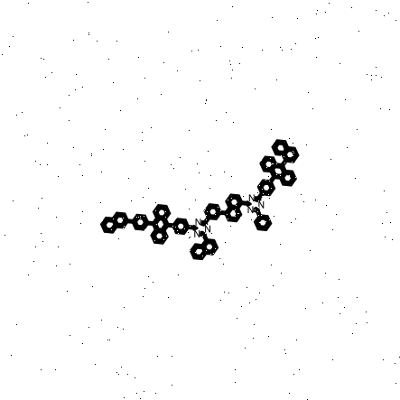 c1ccc(-c2nc(-c3ccc(-c4c5ccccc5c(-c5cccc6ccccc56)c5ccccc45)cc3)nc(-c3cccc4c(-c5cccc(-c6nc(-c7ccc(-c8c9ccccc9c(-c9ccc(-c%10ccc%11ccccc%11c%10)cc9)c9ccccc89)cc7)nc(-c7cccc8ccccc78)n6)c5)cccc34)n2)cc1